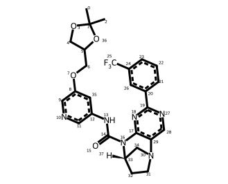 CC1(C)OCC(COc2cncc(NC(=O)N3c4nc(-c5cccc(C(F)(F)F)c5)ncc4N4CC[C@H]3C4)c2)O1